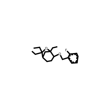 CCC1(CC)OC2(CC)CC1CCC2OCc1ccccc1F